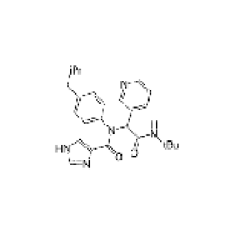 CC(C)Cc1ccc(N(C(=O)c2c[nH]cn2)C(C(=O)NC(C)(C)C)c2cccnc2)cc1